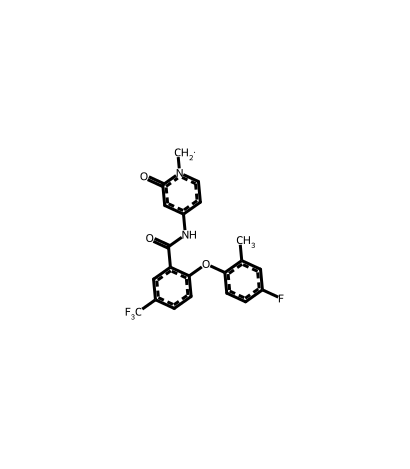 [CH2]n1ccc(NC(=O)c2cc(C(F)(F)F)ccc2Oc2ccc(F)cc2C)cc1=O